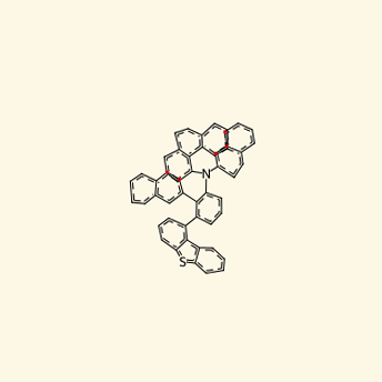 c1cc(-c2cccc3sc4ccccc4c23)c(-c2ccc3ccccc3c2)c(N(c2ccc3ccccc3c2)c2cccc3ccc4ccccc4c23)c1